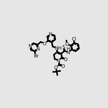 COc1c(Cl)cccc1NC(=S)C1=C(NCc2ccncc2OCc2cncc(Br)n2)CCN(C(=O)OC(C)(C)C)C1=O